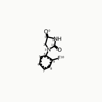 O=C1CN(c2ccccc2F)C(=O)N1